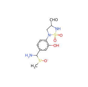 C[S+]([O-])C(N)c1ccc(N2CC(C=O)NS2(=O)=O)c(O)c1